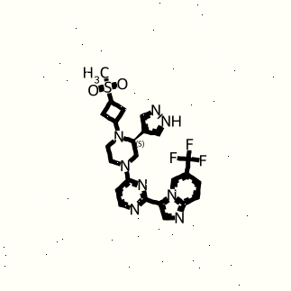 CS(=O)(=O)C1CC(N2CCN(c3ccnc(-c4cnc5ccc(C(F)(F)F)cn45)n3)C[C@@H]2c2cn[nH]c2)C1